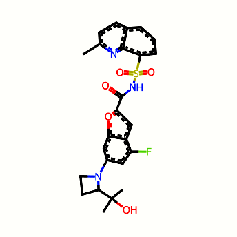 Cc1ccc2cccc(S(=O)(=O)NC(=O)c3cc4c(F)cc(N5CCC5C(C)(C)O)cc4o3)c2n1